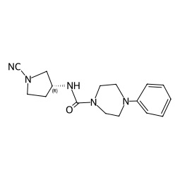 N#CN1CC[C@@H](NC(=O)N2CCN(c3ccccc3)CC2)C1